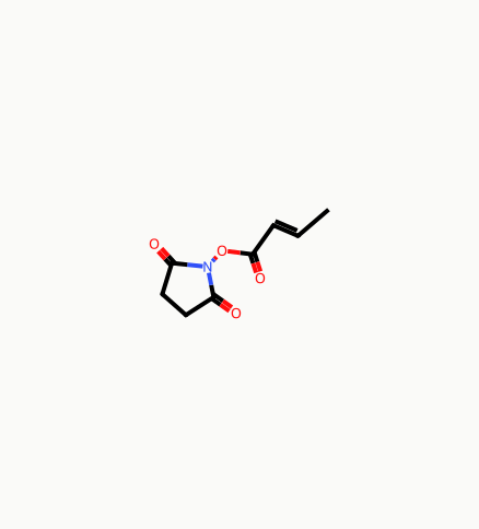 CC=CC(=O)ON1C(=O)CCC1=O